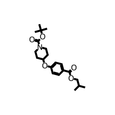 CC(C)COC(=O)c1ccc(OC2CCN(C(=O)OC(C)(C)C)CC2)cc1